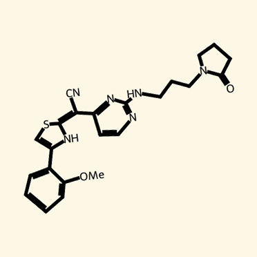 COc1ccccc1C1=CS/C(=C(\C#N)c2ccnc(NCCCN3CCCC3=O)n2)N1